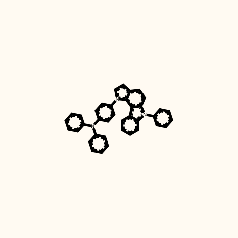 c1ccc(N(c2ccccc2)c2ccc(-n3ccc4ccc5c(c6ccccc6n5-c5ccccc5)c43)cc2)cc1